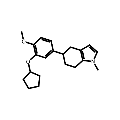 COc1ccc(C2CCc3c(ccn3C)C2)cc1OC1CCCC1